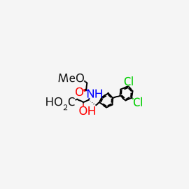 COCC(=O)N[C@H](Cc1ccc(-c2cc(Cl)cc(Cl)c2)cc1)[C@@H](O)CC(=O)O